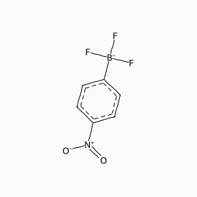 O=[N+]([O-])c1ccc([B-](F)(F)F)cc1